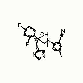 Cc1cc(C#N)c(NC[C@](O)(Cn2cncn2)c2ccc(F)cc2F)s1